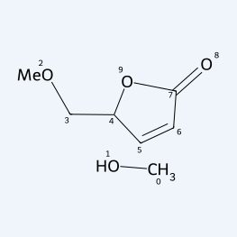 CO.COCC1C=CC(=O)O1